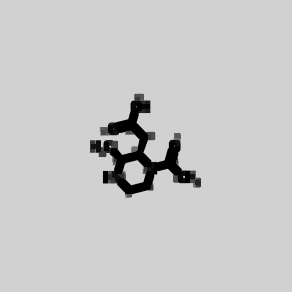 CC(=O)N1CCN[C@@H](C)[C@H]1CC(=O)O